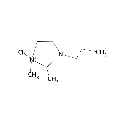 CCCN1C=C[N+](C)(Cl)C1C